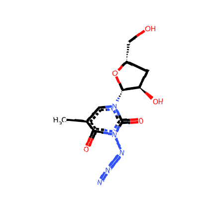 Cc1cn([C@@H]2O[C@H](CO)C[C@H]2O)c(=O)n(N=[N+]=[N-])c1=O